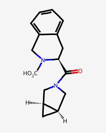 O=C([C@@H]1Cc2ccccc2CN1C(=O)O)N1C[C@H]2C[C@H]2C1